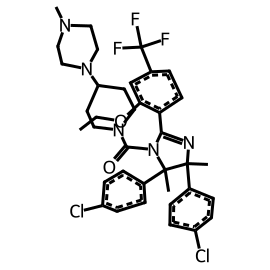 CCOc1cc(C(F)(F)F)ccc1C1=NC(C)(c2ccc(Cl)cc2)C(C)(c2ccc(Cl)cc2)N1C(=O)N1CCC(N2CCN(C)CC2)CC1